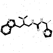 C[C@@H](NC(=O)NCC(Cc1csc2ccccc12)N(C)C)c1cccs1